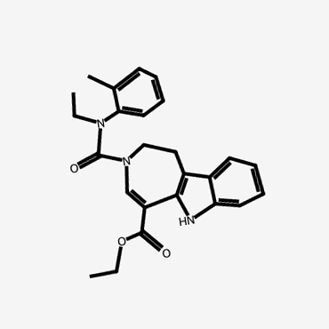 CCOC(=O)C1=CN(C(=O)N(CC)c2ccccc2C)CCc2c1[nH]c1ccccc21